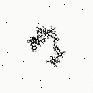 CC[C@H](C)[C@@H]([C@@H](CC(=O)N1CCCC1[C@H](OC)[C@@H](C)C(=O)N[C@@H](Cc1ccccc1)C(=O)O)OC)N(C)C(=O)C(N=C(N(C)C)N1CCN(C(=O)CCCn2cc(CN3C(=O)CC(SC[C@H](NC(C)=O)C(=O)O)C3=O)nn2)CC1)C(C)C